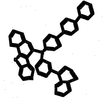 c1ccc(-c2ccc(-c3ccc(N(c4cccc(-c5cccc6ccccc56)c4)c4cc5ccccc5c5oc6ccncc6c45)cc3)cc2)cc1